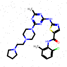 Cc1nc(Nc2ncc(C(=O)Nc3c(C)cccc3Cl)s2)nc(N2CCN(CCN3CCCC3)CC2)n1